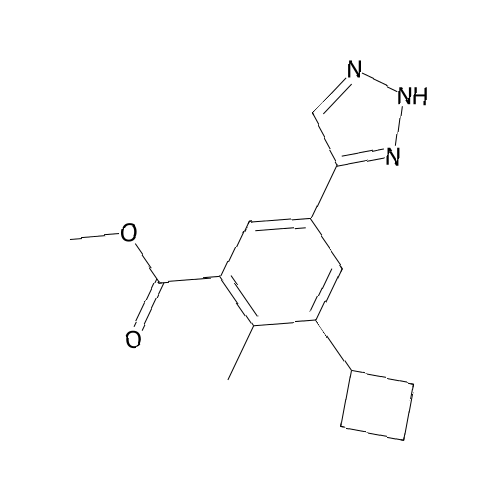 COC(=O)c1cc(-c2cn[nH]n2)cc(C2CCC2)c1C